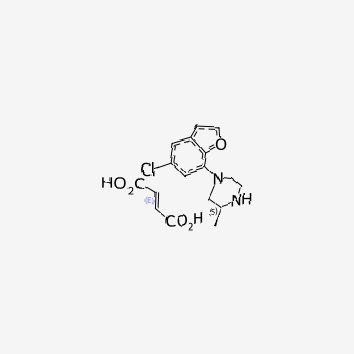 C[C@H]1CN(c2cc(Cl)cc3ccoc23)CCN1.O=C(O)/C=C/C(=O)O